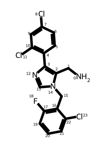 NCc1c(-c2ccc(Cl)cc2Cl)ncn1Cc1c(F)cccc1Cl